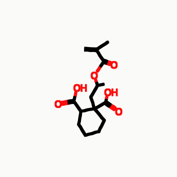 C=C(C)C(=O)OC(C)CC1(C(=O)O)CCCCC1C(=O)O